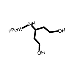 CCCCCNC(CCO)CCO